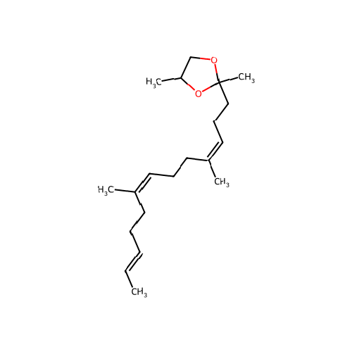 CC=CCCC(C)=CCCC(C)=CCCC1(C)OCC(C)O1